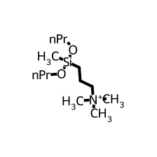 CCCO[Si](C)(CCC[N+](C)(C)C)OCCC